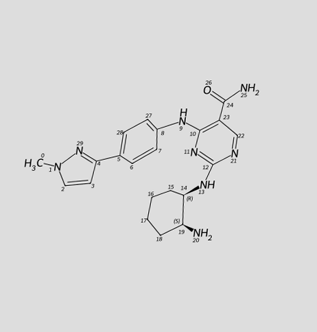 Cn1ccc(-c2ccc(Nc3nc(N[C@@H]4CCCC[C@@H]4N)ncc3C(N)=O)cc2)n1